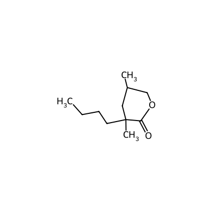 CCCCC1(C)CC(C)COC1=O